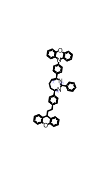 C1=C(c2ccc(N3c4ccccc4Oc4ccccc43)cc2)/N=C(c2ccccc2)\N=C(\c2ccc(CCC3c4ccccc4Oc4ccccc43)cc2)CC\1